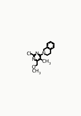 COCc1nc(Cl)nc(N2CCc3ccccc3C2)c1C